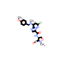 COc1ccc(CN(C)c2cc(Cl)nn3c(C(=O)N[C@H]4CON(C)C4=C=O)cnc23)cc1